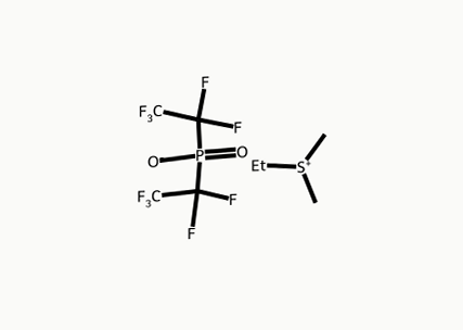 CC[S+](C)C.O=P([O-])(C(F)(F)C(F)(F)F)C(F)(F)C(F)(F)F